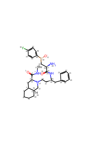 CC(C)(C)NC(=O)[C@@H]1CC2CCCC[C@@H]2CN1CC[C@H](Cc1ccccc1)NC(=O)[C@H](N)C[S+]([O-])c1ccc(F)cc1